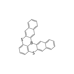 c1cc2c3c(c1)Sc1cc4ccccc4cc1B3c1cc3ccccc3cc1S2